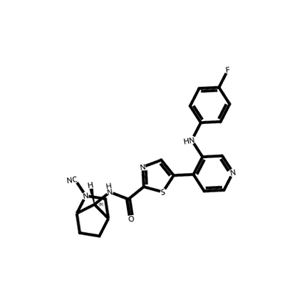 N#CN1CC2CCC1[C@@H]2NC(=O)c1ncc(-c2ccncc2Nc2ccc(F)cc2)s1